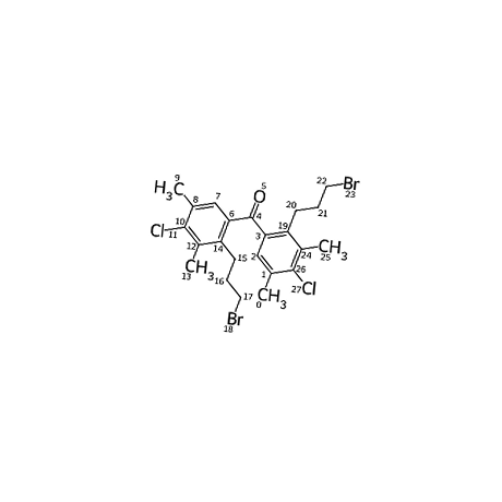 Cc1cc(C(=O)c2cc(C)c(Cl)c(C)c2CCCBr)c(CCCBr)c(C)c1Cl